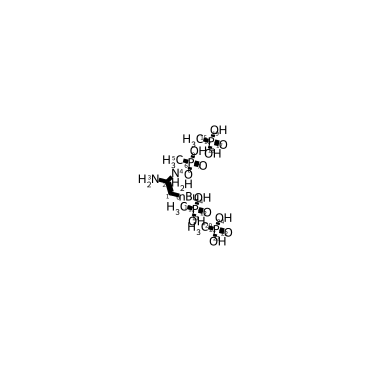 CCCCC=C(N)N.CP(=O)(O)O.CP(=O)(O)O.CP(=O)(O)O.CP(=O)(O)O